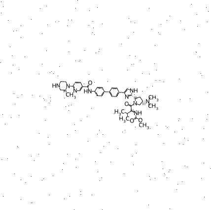 COC(=O)N[C@H](C(=O)N1C[C@@H](N(C)C)C[C@H]1c1nc(-c2ccc(-c3ccc(NC(=O)c4ccc(N5CCNC[C@H]5C)nc4)cc3)cc2)c[nH]1)C(C)C